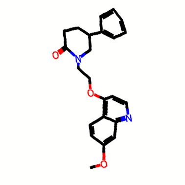 COc1ccc2c(OCCN3CC(c4ccccc4)CCC3=O)ccnc2c1